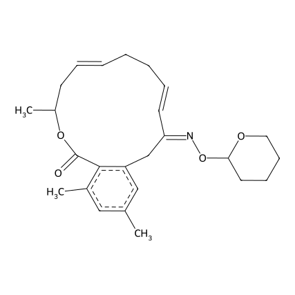 Cc1cc(C)c2c(c1)CC(=NOC1CCCCO1)/C=C/CC/C=C/CC(C)OC2=O